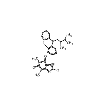 CC(CN1c2ccccc2Sc2ccccc21)N(C)C.Cn1c(=O)c2[nH]c(Cl)nc2n(C)c1=O